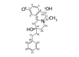 C[C@@H]([C@@H](O)c1ccc(Cl)cc1)N1CCC(O)(CCc2ccccc2)CC1